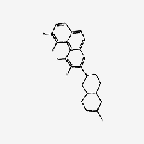 Fc1ccc2ccc3cc(C4CCC5CC(I)CCC5C4)c(F)c(F)c3c2c1F